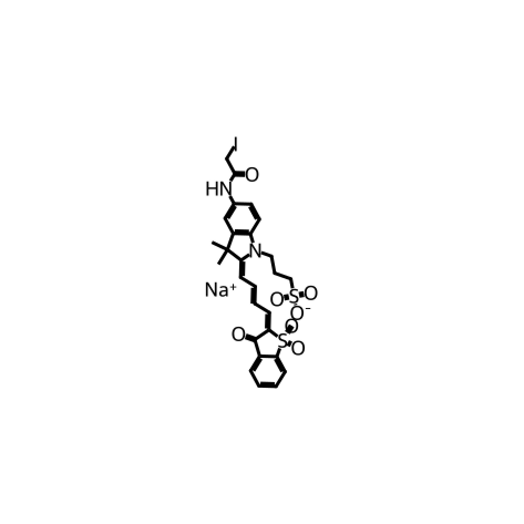 CC1(C)C(=CC=CC=C2C(=O)c3ccccc3S2(=O)=O)N(CCCS(=O)(=O)[O-])c2ccc(NC(=O)CI)cc21.[Na+]